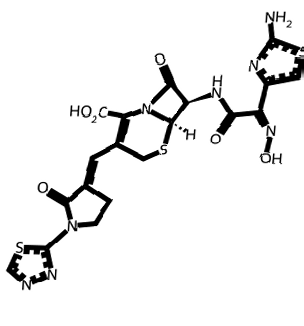 Nc1nc(/C(=N/O)C(=O)N[C@@H]2C(=O)N3C(C(=O)O)=C(/C=C4\CCN(c5nncs5)C4=O)CS[C@H]23)cs1